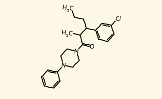 CCCC(c1cccc(Cl)c1)C(C)C(=O)N1CCN(c2ccccc2)CC1